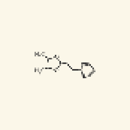 CC1OC(CCc2cccnc2)OC1C